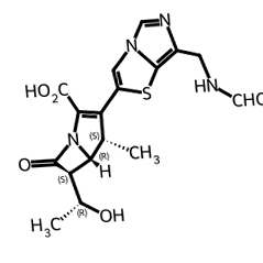 C[C@@H](O)[C@H]1C(=O)N2C(C(=O)O)=C(c3cn4cnc(CNC=O)c4s3)[C@H](C)[C@H]12